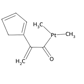 C=C([C](=O)[Pt]([CH3])[CH3])C1=CC=CC1